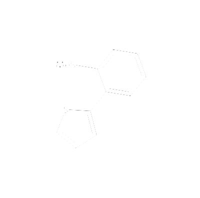 CSc1ccccc1-c1cc[c]s1